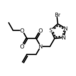 C=CCN(Cc1nnc(Br)s1)C(=O)C(=O)OCC